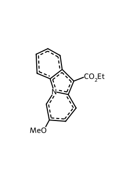 CCOC(=O)c1c2ccccc2n2cc(OC)ccc12